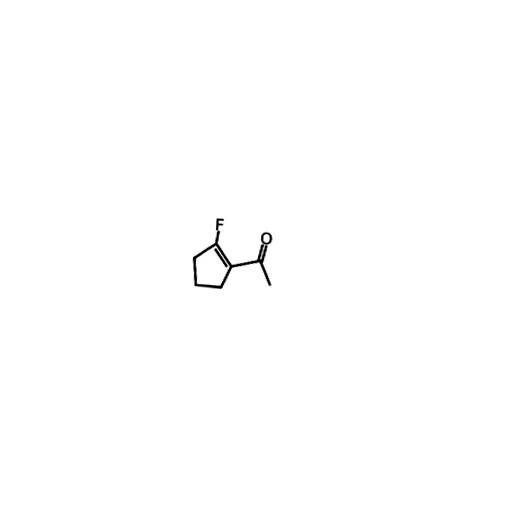 CC(=O)C1=C(F)CCC1